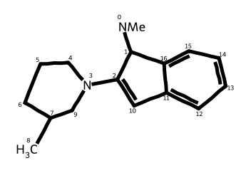 CNC1C(N2CCCC(C)C2)=Cc2ccccc21